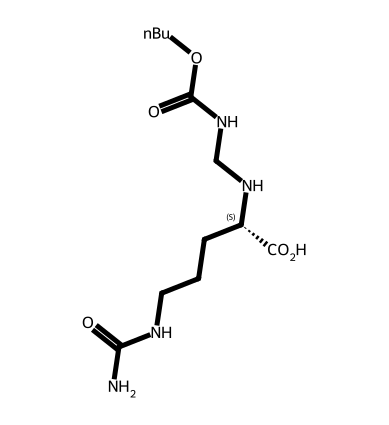 CCCCOC(=O)NCN[C@@H](CCCNC(N)=O)C(=O)O